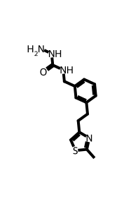 Cc1nc(CCc2cccc(CNC(=O)NN)c2)cs1